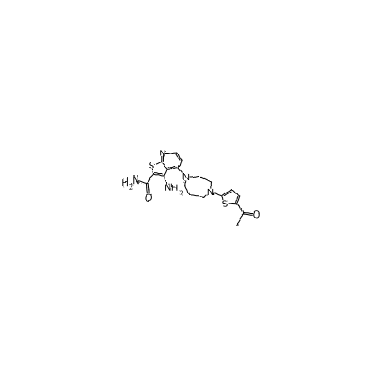 CC(=O)c1ccc(N2CCCN(c3ccnc4sc(C(N)=O)c(N)c34)CC2)s1